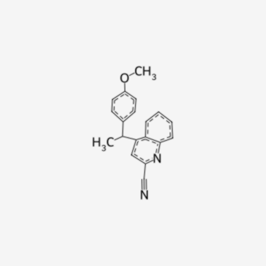 COc1ccc(C(C)c2cc(C#N)nc3ccccc23)cc1